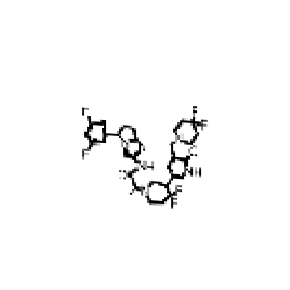 C[C@@H](C(=O)Nc1cn2c(n1)CC[C@@H]2c1cc(F)cc(F)c1)N1CCC(F)(F)C(c2c[nH]c(=O)c(CN3CCC(F)(F)CC3)c2)C1